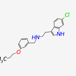 CCCOc1cccc(CNCCc2c[nH]c3cc(Cl)ccc23)c1